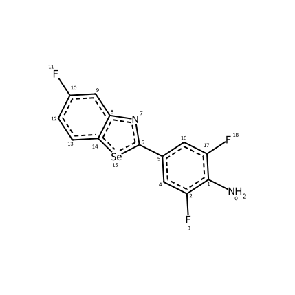 Nc1c(F)cc(-c2nc3cc(F)ccc3[se]2)cc1F